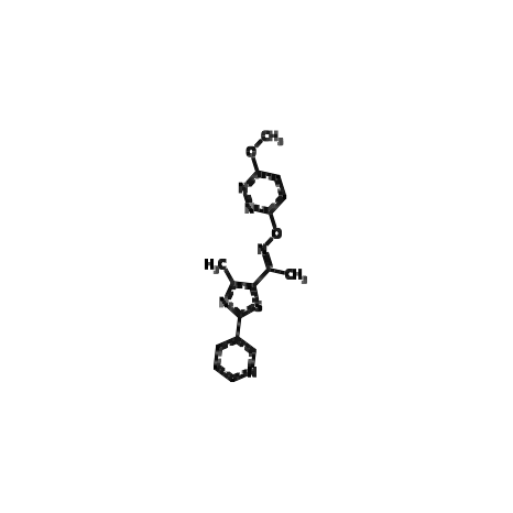 COc1ccc(O/N=C(\C)c2sc(-c3cccnc3)nc2C)nn1